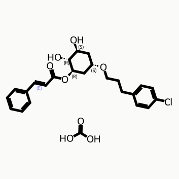 O=C(/C=C/c1ccccc1)O[C@@H]1C[C@@H](OCCCc2ccc(Cl)cc2)C[C@H](O)[C@H]1O.O=C(O)O